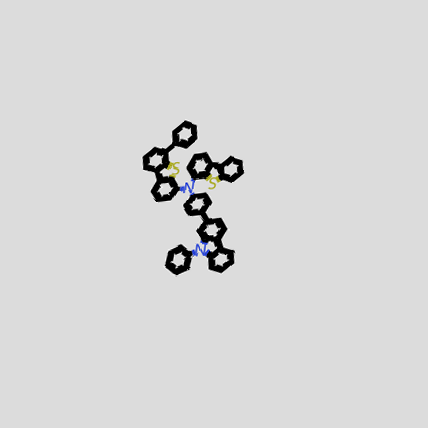 c1ccc(-c2cccc3c2sc2c(N(c4ccc(-c5ccc6c7ccccc7n(-c7ccccc7)c6c5)cc4)c4cccc5c4sc4ccccc45)cccc23)cc1